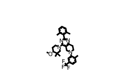 CO[C@H]1CCN(c2nc(-c3c(C)cccc3C)nc3c2CN(c2cc(C(F)(F)F)ccc2C)CC3)CC1(C)C